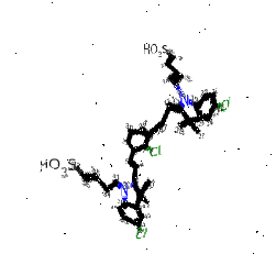 CC1(C)C(/C=C/C2=C(Cl)C(=C/C=C3/N(CCCCS(=O)(=O)O)c4ccc(Cl)cc4C3(C)C)/CCC2)=[N+](CCCCS(=O)(=O)O)c2ccc(Cl)cc21